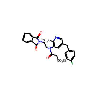 CCOC(=O)CC(=O)N(CCN1C(=O)c2ccccc2C1=O)c1cc(Cc2ccc(F)cc2)cnc1C(=O)OCC